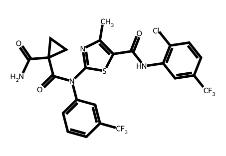 Cc1nc(N(C(=O)C2(C(N)=O)CC2)c2cccc(C(F)(F)F)c2)sc1C(=O)Nc1cc(C(F)(F)F)ccc1Cl